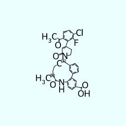 CC(=O)c1ccc(Cl)c(F)c1C1=CC(=O)N([C@H]2CCC[C@@H](C)C(=O)Nc3ccc(C(=O)O)cc3-c3cccc2c3)CC1